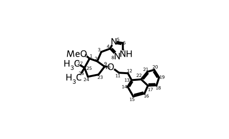 COC1C(Cc2nc[nH]n2)C(OCCc2cccc3ccccc23)CCC1(C)C